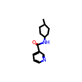 CC1CCC(NC(=O)c2cccnc2)CC1